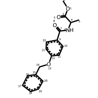 COC(=O)C(C)NC(=O)c1ccc(OCc2ccccc2)cc1